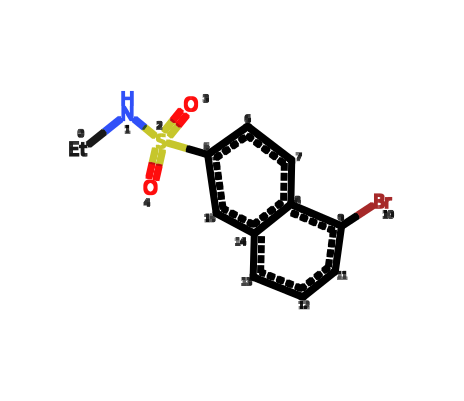 CCNS(=O)(=O)c1ccc2c(Br)cccc2c1